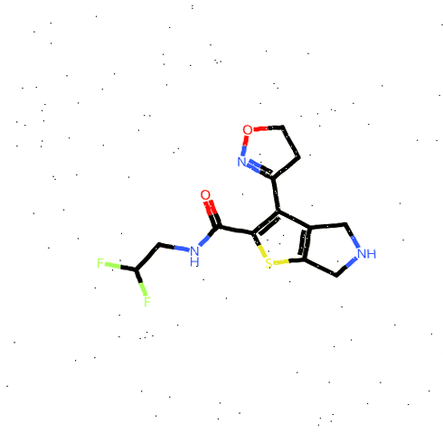 O=C(NCC(F)F)c1sc2c(c1C1=NOCC1)CNC2